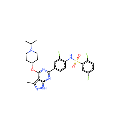 Cc1n[nH]c2nc(-c3ccc(NS(=O)(=O)c4cc(F)ccc4F)c(F)c3)nc(OC3CCN(C(C)C)CC3)c12